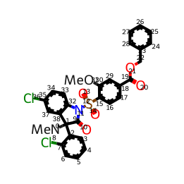 CNC1(c2ccccc2Cl)C(=O)N(S(=O)(=O)c2ccc(C(=O)OCc3ccccc3)cc2OC)c2ccc(Cl)cc21